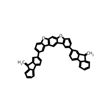 C=C1c2ccccc2-c2ccc(-c3ccc4oc5cc6oc7ccc(-c8ccc9c(c8)C(=C)c8ccccc8-9)cc7c6cc5c4c3)cc21